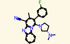 Cc1c(-c2cccc(F)c2)c(N2CC[C@H](N(C)C)C2)n2c(nc3ccccc32)c1C#N